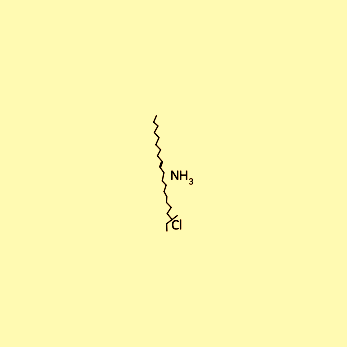 CCCCCCCC/C=C/CCCCCCCCC(C)(Cl)CC.N